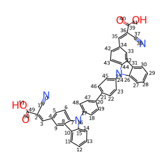 N#C/C(=C\c1ccc2c(c1)c1ccccc1n2-c1ccc(-c2ccc(-n3c4ccccc4c4cc(/C=C(\C#N)C(=O)O)ccc43)cc2)cc1)C(=O)O